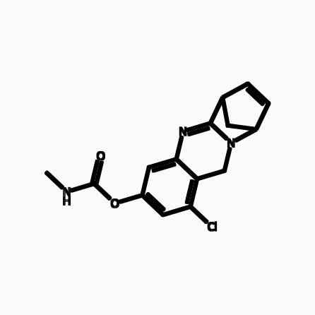 CNC(=O)Oc1cc(Cl)c2c(c1)N=C1C3C=CC(C3)N1C2